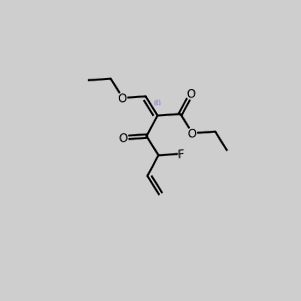 C=CC(F)C(=O)/C(=C\OCC)C(=O)OCC